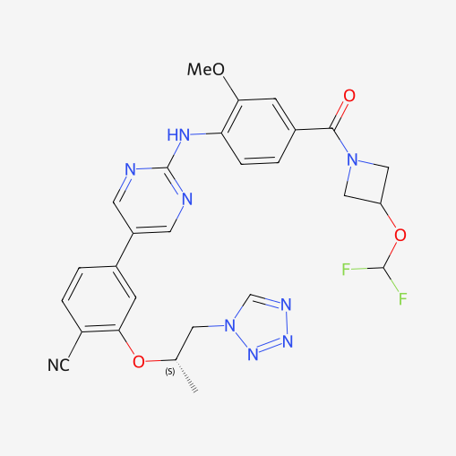 COc1cc(C(=O)N2CC(OC(F)F)C2)ccc1Nc1ncc(-c2ccc(C#N)c(O[C@@H](C)Cn3cnnn3)c2)cn1